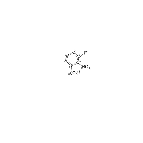 O=C(O)c1cccc(F)c1[N+](=O)[O-]